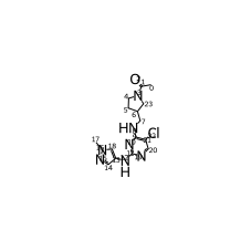 CC(=O)N1CCC(CNc2nc(Nc3cnn(C)c3)ncc2Cl)C1